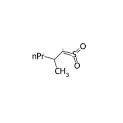 CCCC(C)[C]=S(=O)=O